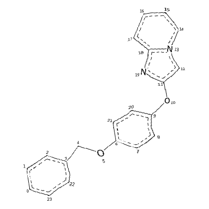 c1ccc(COc2ccc(Oc3cn4ccccc4n3)cc2)cc1